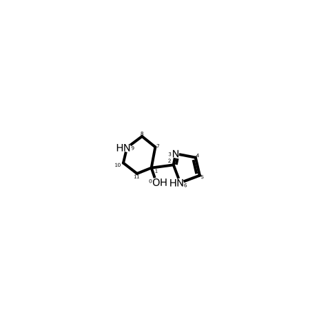 OC1(c2ncc[nH]2)CCNCC1